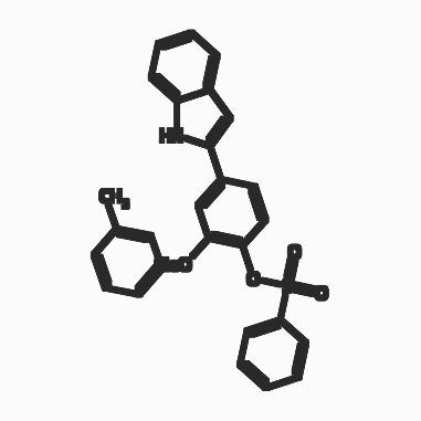 COc1cc(-c2cc3ccccc3[nH]2)ccc1OS(=O)(=O)c1ccccc1.Cc1ccccc1